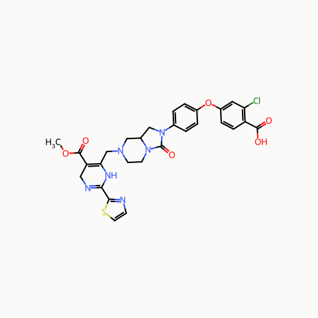 COC(=O)C1=C(CN2CCN3C(=O)N(c4ccc(Oc5ccc(C(=O)O)c(Cl)c5)cc4)CC3C2)NC(c2nccs2)=NC1